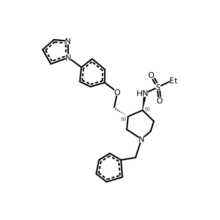 CCS(=O)(=O)N[C@H]1CCN(Cc2ccccc2)C[C@@H]1COc1ccc(-n2cccn2)cc1